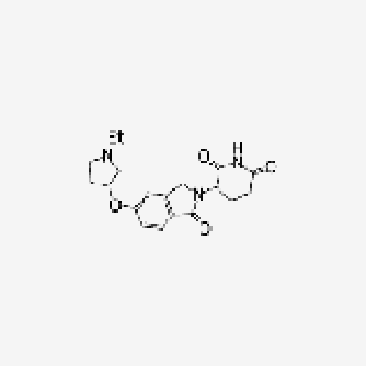 CCN1CCC(Oc2ccc3c(c2)CN(C2CCC(=O)NC2=O)C3=O)C1